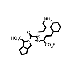 CCOC(=O)C(CCC1CCCCC1)N[C@@H](CCCCN)C(=O)N1CC2CCCC2C1C(=O)O